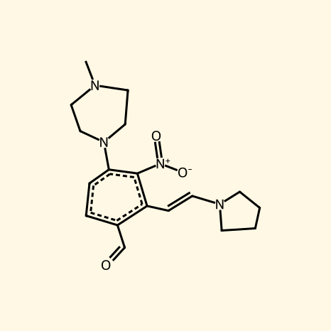 CN1CCN(c2ccc(C=O)c(C=CN3CCCC3)c2[N+](=O)[O-])CC1